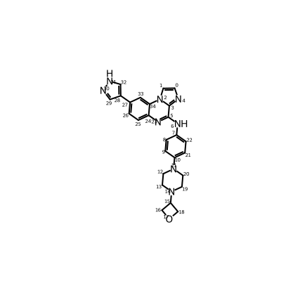 c1cn2c(n1)c(Nc1ccc(N3CCN(C4COC4)CC3)cc1)nc1ccc(-c3cn[nH]c3)cc12